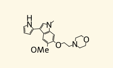 COc1cc2c(-c3ccc[nH]3)cn(C)c2cc1OCCN1CCOCC1